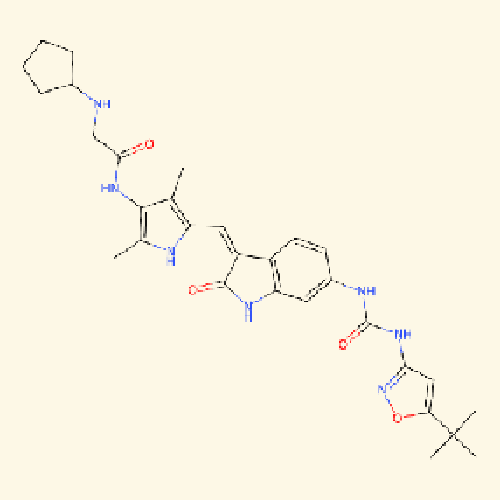 Cc1[nH]c(C=C2C(=O)Nc3cc(NC(=O)Nc4cc(C(C)(C)C)on4)ccc32)c(C)c1NC(=O)CNC1CCCC1